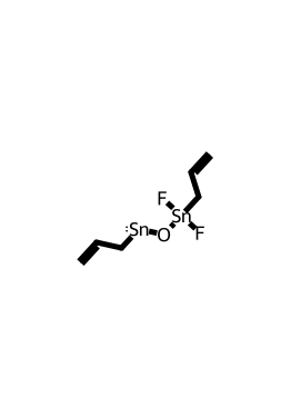 C=C[CH2][Sn][O][Sn]([F])([F])[CH2]C=C